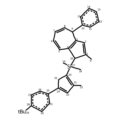 CC1=CC2=C(C=CC=CC2c2ccccc2)C1[Si](C)(C)C1=C(C)C=C(c2ccc(C(C)(C)C)cc2)C1